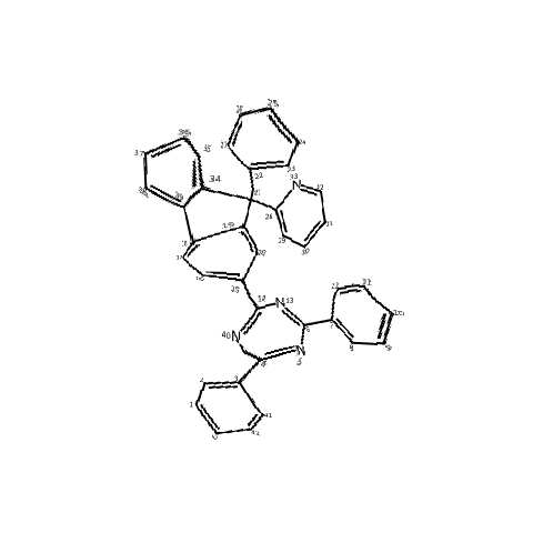 c1ccc(-c2nc(-c3ccccc3)nc(-c3ccc4c(c3)C(c3ccccc3)(c3ccccn3)c3ccccc3-4)n2)cc1